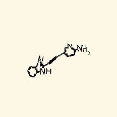 Nc1ccc(C#Cc2nc3ccccc3[nH]2)cn1